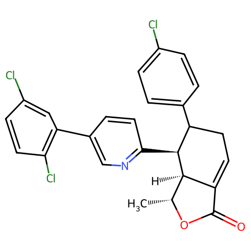 C[C@H]1OC(=O)C2=CCC(c3ccc(Cl)cc3)[C@H](c3ccc(-c4cc(Cl)ccc4Cl)cn3)[C@@H]21